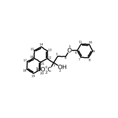 O=C(O)C(O)(CCOc1ccccc1)c1cccc2ccccc12